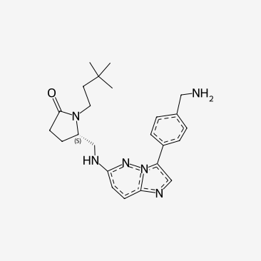 CC(C)(C)CCN1C(=O)CC[C@H]1CNc1ccc2ncc(-c3ccc(CN)cc3)n2n1